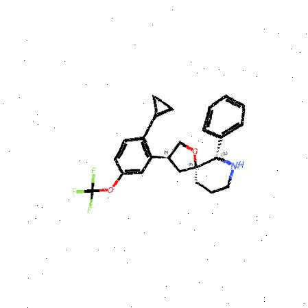 FC(F)(F)Oc1ccc(C2CC2)c([C@H]2CO[C@]3(CCCN[C@H]3c3ccccc3)C2)c1